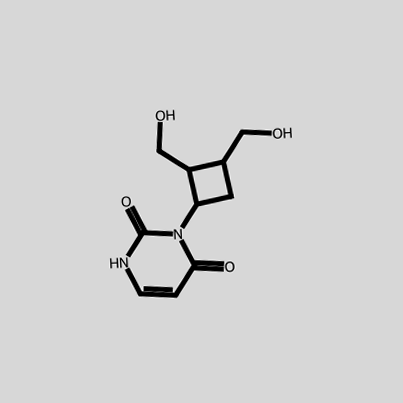 O=c1cc[nH]c(=O)n1C1CC(CO)C1CO